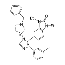 CCn1c(=O)n(CC)c2cc(-c3c(-c4cccc(C)c4)ncn3[C@@H]3CCN(Cc4ccccc4)C3)ccc21